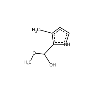 COC(O)c1[nH]ccc1C